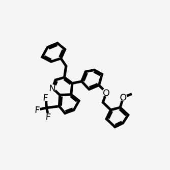 COc1ccccc1COc1cccc(-c2c(Cc3ccccc3)cnc3c(C(F)(F)F)cccc23)c1